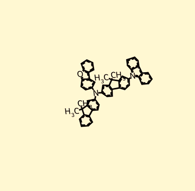 CC1(C)c2ccccc2-c2ccc(N(c3ccc4c(c3)C(C)(C)c3cc(-n5c6ccccc6c6ccccc65)ccc3-4)c3ccc4oc5ccccc5c4c3)cc21